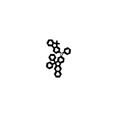 CC1(C)c2ccccc2-c2ccc(N(c3ccccc3)c3ccc4c(c3)C(c3ccccc3)(c3ccccc3)c3cc5ccccc5cc3-4)cc21